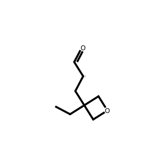 CCC1(C[CH]C=O)COC1